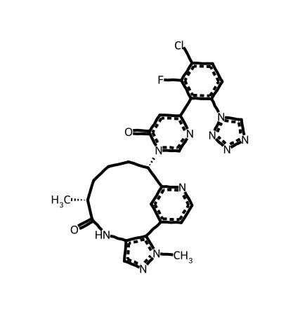 C[C@@H]1CCC[C@H](n2cnc(-c3c(-n4cnnn4)ccc(Cl)c3F)cc2=O)c2cc(ccn2)-c2c(cnn2C)NC1=O